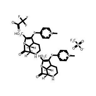 C[n+]1ccc(SC2=C(C(=O)O)N3C(=O)[C@H]4NCCC2[C@H]43)cc1.C[n+]1ccc(SC2=C(C(=O)O)N3C(=O)[C@H]4NCCC2[C@H]43)cc1.O=C([O-])C(F)(F)F.O=S(=O)([O-])C(F)(F)F